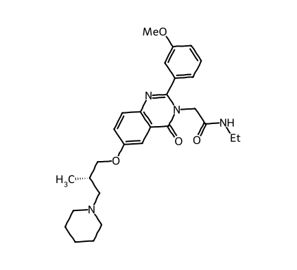 CCNC(=O)Cn1c(-c2cccc(OC)c2)nc2ccc(OC[C@@H](C)CN3CCCCC3)cc2c1=O